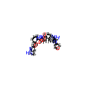 [2H]c1c(S(=O)(=O)NC(=O)c2ccccc2Oc2cnc3[nH]ccc3c2)ccc(NC2CN(C3CCOCC3)C2)c1[N+](=O)[O-]